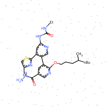 CCCCC(C)CCCOc1ncc(C(=O)NN)cc1-c1cnc(NC(=O)NCC)cc1-c1nc(C(F)(F)F)cs1